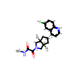 CC(C)(C)NC(=O)C(=O)N1C[C@H]2C[C@@H](c3ccnc4ccc(F)cc34)C[C@H]2C1